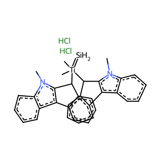 Cl.Cl.Cn1c2c(c3ccccc31)-c1ccccc1[CH]2[Ti]([CH3])([CH3])(=[SiH2])[CH]1c2ccccc2-c2c1n(C)c1ccccc21